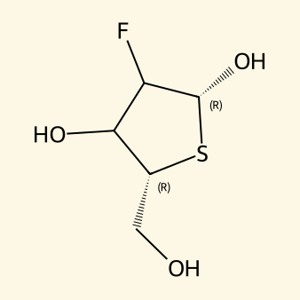 OC[C@H]1S[C@@H](O)C(F)C1O